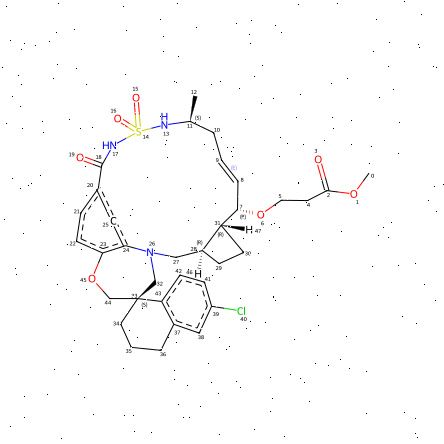 COC(=O)CCO[C@H]1/C=C/C[C@H](C)NS(=O)(=O)NC(=O)c2ccc3c(c2)N(C[C@@H]2CC[C@H]21)C[C@@]1(CCCc2cc(Cl)ccc21)CO3